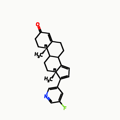 C[C@]12CCC3C(CCC4=CC(=O)CC[C@@]43C)C1=CC=C2c1cncc(F)c1